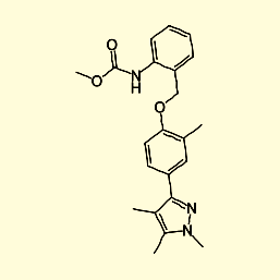 COC(=O)Nc1ccccc1COc1ccc(-c2nn(C)c(C)c2C)cc1C